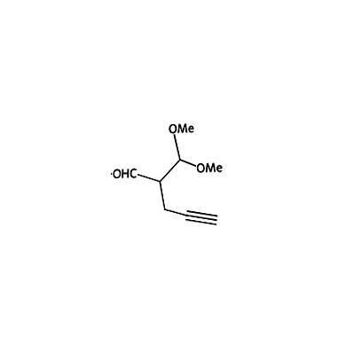 C#CCC([C]=O)C(OC)OC